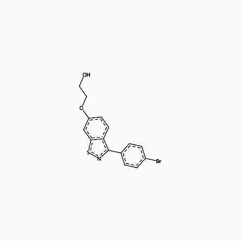 OCCOc1ccc2c(-c3ccc(Br)cc3)nsc2c1